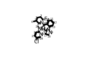 CC1CCCN(C(=O)c2c(F)cccc2-n2nccn2)[C@@H]1CNc1ccc(Cl)cn1